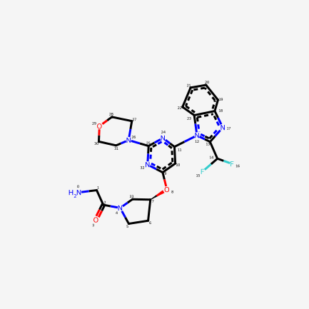 NCC(=O)N1CC[C@H](Oc2cc(-n3c(C(F)F)nc4ccccc43)nc(N3CCOCC3)n2)C1